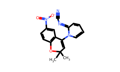 CC1(C)C=C(n2ccccc2=NC#N)c2cc([N+](=O)[O-])ccc2O1